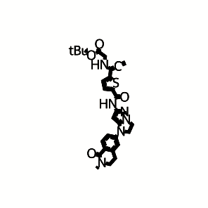 C=C=C(NCC(=O)OC(C)(C)C)c1ccc(C(=O)Nc2cc3n(n2)CCN3c2ccc3c(c2)CCN(C)C3=O)s1